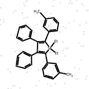 CC[Si]1(CC)C(c2cccc(C)c2)=C(c2ccccc2)C(c2ccccc2)=C1c1cccc(C)c1